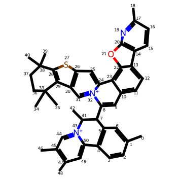 Cc1ccc2c(c1)C(c1cc3ccc4c5ccc(C)nc5oc4c3c3cc4sc5c(c4c[n+]13)C(C)(C)CCC5(C)C)C(C)[n+]1cc(C)c(C)cc1-2